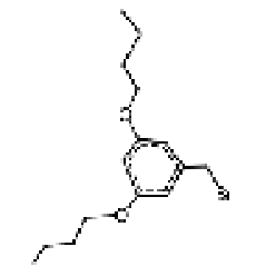 CCCCOc1cc(CBr)cc(OCCCC)c1